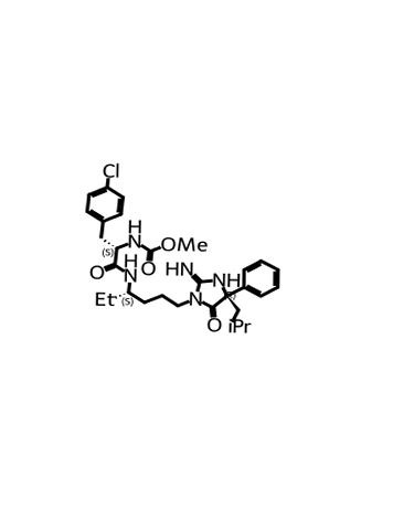 CC[C@@H](CCCN1C(=N)N[C@](CC(C)C)(c2ccccc2)C1=O)NC(=O)[C@H](Cc1ccc(Cl)cc1)NC(=O)OC